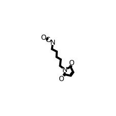 O=C=NCCCCCN1C(=O)C=CC1=O